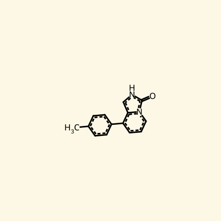 Cc1ccc(-c2cccn3c(=O)[nH]cc23)cc1